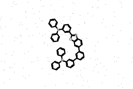 c1ccc(N(c2ccccc2)c2cccc(-c3cccc(-c4ccc5nc(-c6cccc(N(c7ccccc7)c7ccccc7)c6)oc5c4)c3)c2)cc1